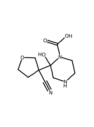 N#CC1(C2(O)CNCCN2C(=O)O)CCOC1